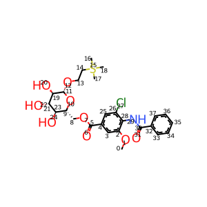 COc1cc(C(=O)OC[C@H]2O[C@@H](OCCS(C)(C)C)[C@H](O)[C@@H](O)[C@@H]2O)cc(Cl)c1NC(=O)c1ccccc1